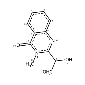 Cn1c(C(O)C=O)nc2ccccc2c1=O